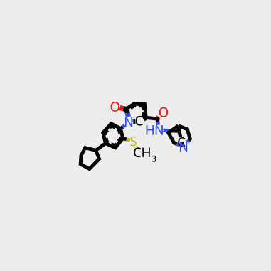 CSc1cc(C2CCCCC2)ccc1-n1cc(C(=O)NC2CN3CCC2CC3)ccc1=O